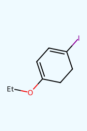 CCOC1=CC=C(I)CC1